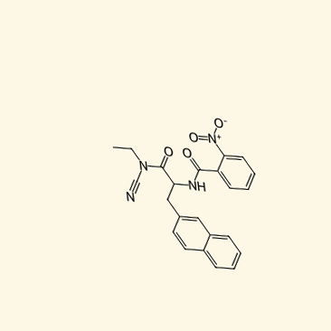 CCN(C#N)C(=O)C(Cc1ccc2ccccc2c1)NC(=O)c1ccccc1[N+](=O)[O-]